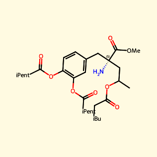 CCCC(C)C(=O)Oc1ccc(C[C@](N)(CC(C)OC(=O)CC(C)CC)C(=O)OC)cc1OC(=O)C(C)CCC